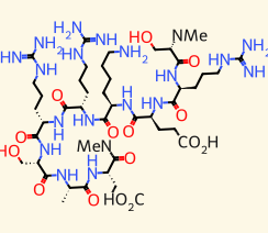 CNC(=O)[C@H](CC(=O)O)NC(=O)[C@H](C)NC(=O)[C@H](CO)NC(=O)[C@H](CCCNC(=N)N)NC(=O)[C@H](CCCNC(=N)N)NC(=O)[C@@H](CCCCN)NC(=O)[C@H](CCC(=O)O)NC(=O)[C@H](CCCNC(=N)N)NC(=O)[C@H](CO)NC